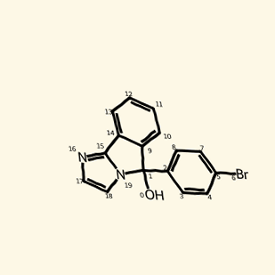 OC1(c2ccc(Br)cc2)c2ccccc2-c2nccn21